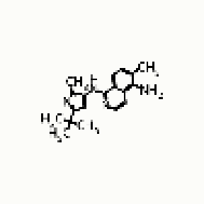 Cc1ccc2c(Nc3cc(C(C)(C)C)nn3C)nccc2c1N